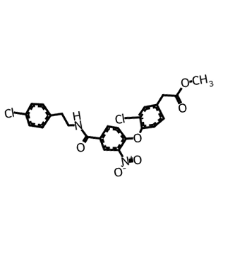 COC(=O)Cc1ccc(Oc2ccc(C(=O)NCCc3ccc(Cl)cc3)cc2[N+](=O)[O-])c(Cl)c1